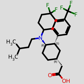 CC(C)CCN(C1CCC(F)(F)CC1)[C@@H]1CC[C@@H](CC(=O)O)C[C@H]1c1ccc(C(F)(F)F)cc1